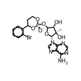 C[C@@]1(O)[C@H](O)C(OP2(=O)OCCC(c3ccccc3Br)O2)O[C@H]1n1cnc2c(N)ncnc21